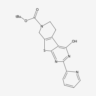 CC(C)(C)OC(=O)N1CCc2c(sc3nc(-c4ccccn4)nc(O)c23)C1